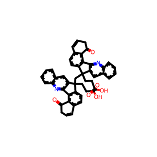 O=C(O)CCC1(CC2(CCC(=O)O)c3cc4ccccc4nc3-c3c2ccc2c3C(=O)CC=C2)c2cc3ccccc3nc2-c2c1ccc1c2C(=O)CC=C1